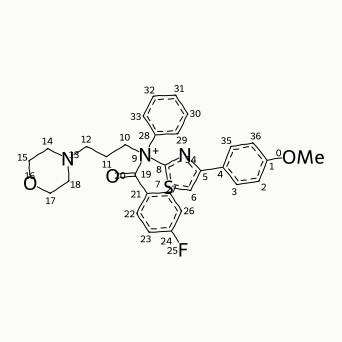 COc1ccc(-c2csc([N+](CCCN3CCOCC3)(C(=O)c3ccc(F)cc3)c3ccccc3)n2)cc1